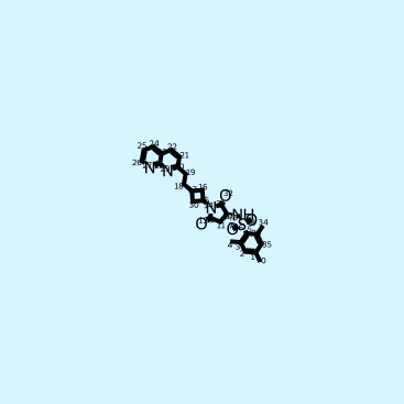 Cc1cc(C)c(S(=O)(=O)N[C@H]2CC(=O)N(C3CC(CCc4ccc5cccnc5n4)C3)C2=O)c(C)c1